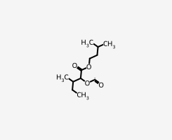 CCC(C)C(O[C]=O)C(=O)OCCC(C)C